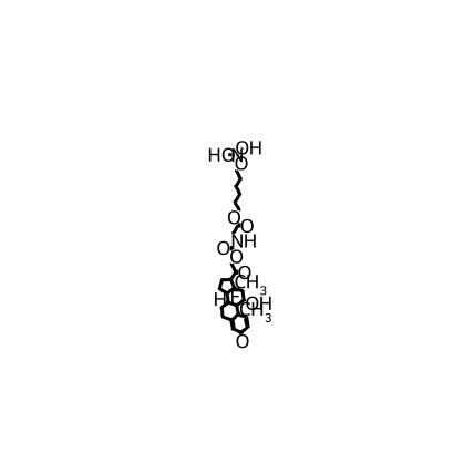 C[C@]12C[C@H](O)C3(F)[C@@H](CCC4=CC(=O)C=C[C@@]43C)C1CCC2C(=O)COC(=O)NCC(=O)OCCCCCCON(O)O